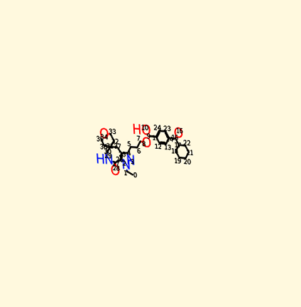 CCn1nc(CCCOC(O)c2ccc(C(=O)C3CCCCC3)cc2)c2c1C(=O)NCC1(CCOCC1)C2